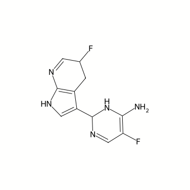 NC1=C(F)C=NC(c2c[nH]c3c2CC(F)C=N3)N1